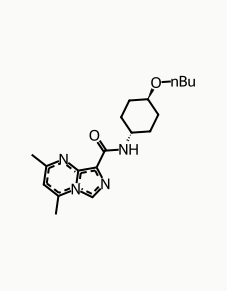 CCCCO[C@H]1CC[C@H](NC(=O)c2ncn3c(C)cc(C)nc23)CC1